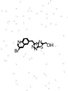 OCc1nn2c(Cc3ccc4ncc(Br)cc4c3)nnc2s1